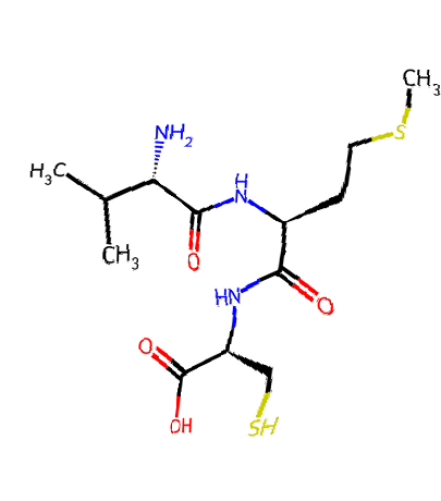 CSCC[C@H](NC(=O)[C@@H](N)C(C)C)C(=O)N[C@@H](CS)C(=O)O